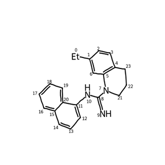 CCc1ccc2c(c1)N(C(=N)Nc1cccc3ccccc13)CCC2